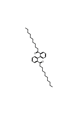 CCCCCCCCCCC(=O)c1ccccc1-c1ccccc1C(=O)CCCCCCCCCC